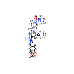 CC1(C)Oc2ccc(C=NNc3cc(N4CCOCC4)nc(CN4CCN(C(=O)N5CCCC5)CC4)n3)cc2O1